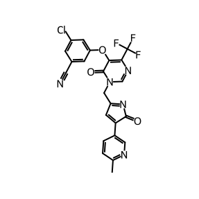 Cc1ccc(C2=CC(Cn3cnc(C(F)(F)F)c(Oc4cc(Cl)cc(C#N)c4)c3=O)=NC2=O)cn1